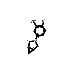 Clc1ccc(N2CC3CC3C2)cc1Cl